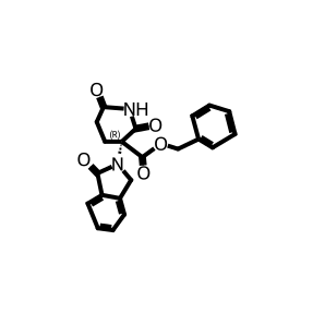 O=C1CC[C@@](C(=O)OCc2ccccc2)(N2Cc3ccccc3C2=O)C(=O)N1